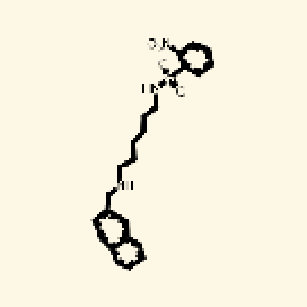 O=[N+]([O-])c1ccccc1S(=O)(=O)NCCCCCCNCc1ccc2ccccc2c1